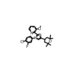 COc1cccnc1-c1nc(C2CC(C)(C)OC(C)(C)C2)cn1-c1ccc(Cl)c(F)c1